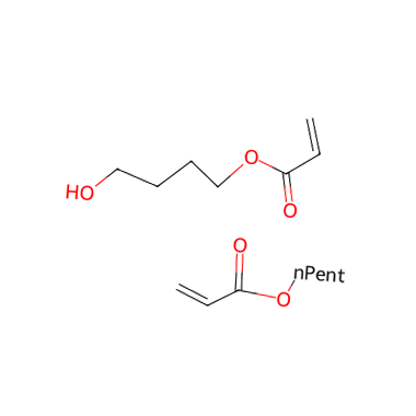 C=CC(=O)OCCCCC.C=CC(=O)OCCCCO